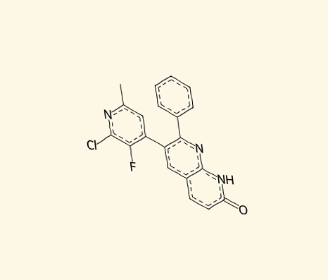 Cc1cc(-c2cc3ccc(=O)[nH]c3nc2-c2ccccc2)c(F)c(Cl)n1